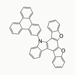 c1ccc2c(c1)oc1c3oc4ccccc4c3c3c(c4ccccc4n3-c3ccc4c5ccccc5c5ccccc5c4c3)c21